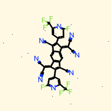 N#CC(C#N)=C1C(c2cc(F)nc(C(F)(F)F)c2)=C(C#N)c2cc3c(cc21)C(C#N)=C(c1cc(F)nc(C(F)(F)F)c1)C3=C(C#N)C#N